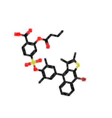 CCCC(=O)Oc1cc(S(=O)(=O)Oc2c(C)cc(-c3c4ccccc4c(Br)c4sc(C)c(C)c34)cc2C)ccc1C(=O)O